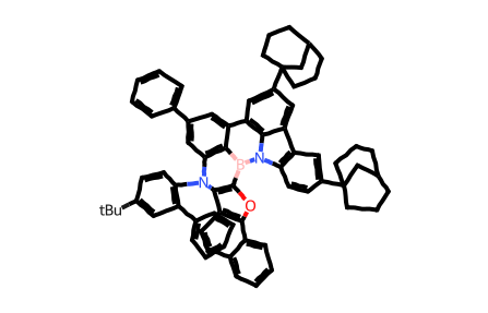 CC(C)(C)c1ccc(N2c3cc(-c4ccccc4)cc4c3B(c3oc5c(ccc6ccccc65)c32)n2c3ccc(C56CCCC(CCC5)C6)cc3c3cc(C56CCCC(CCC5)C6)cc-4c32)c(-c2ccccc2)c1